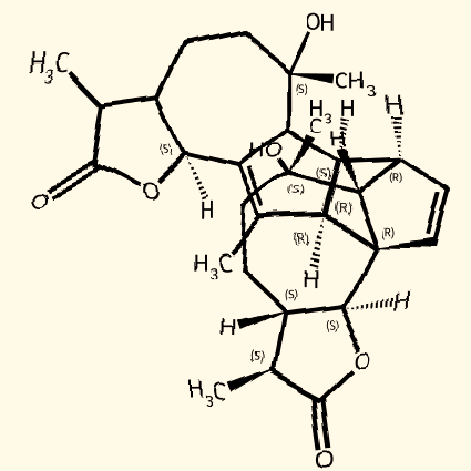 CC1=C2C([C@H]3[C@H]4C=C[C@]5([C@@H]4[C@@](C)(O)CC[C@H]4[C@H](C)C(=O)O[C@@H]45)[C@@H]13)[C@@](C)(O)CCC1C(C)C(=O)O[C@H]21